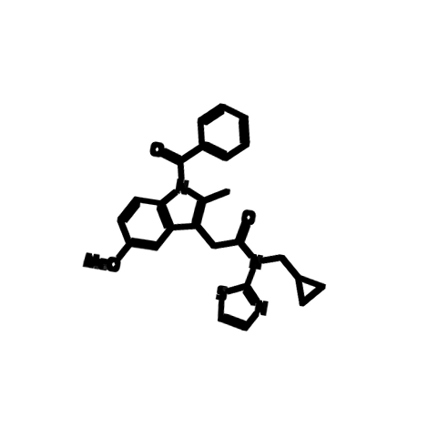 COc1ccc2c(c1)c(CC(=O)N(CC1CC1)c1nccs1)c(C)n2C(=O)c1ccccc1